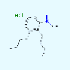 CCCCc1cccc(NCC)c1CCCC.Cl